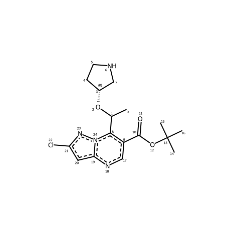 CC(O[C@@H]1CCNC1)c1c(C(=O)OC(C)(C)C)cnc2cc(Cl)nn12